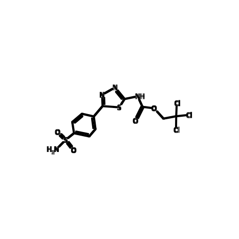 NS(=O)(=O)c1ccc(-c2nnc(NC(=O)OCC(Cl)(Cl)Cl)s2)cc1